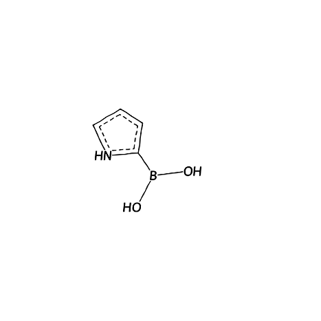 OB(O)c1ccc[nH]1